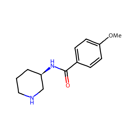 COc1ccc(C(=O)N[C@@H]2CCCNC2)cc1